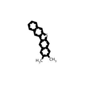 Cc1cc2cc3sc4cc5ccccc5cc4c3cc2cc1C